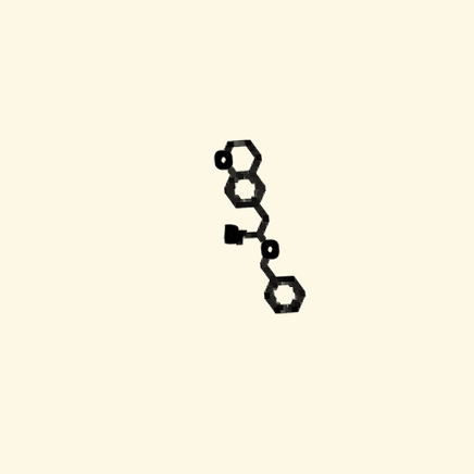 BrC(Cc1ccc2c(c1)CCCO2)OCc1ccccc1